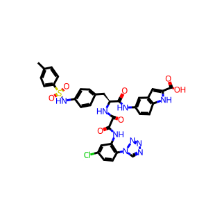 Cc1ccc(S(=O)(=O)Nc2ccc(C[C@H](NC(=O)C(=O)Nc3cc(Cl)ccc3-n3cnnn3)C(=O)Nc3ccc4[nH]c(C(=O)O)cc4c3)cc2)cc1